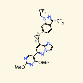 COc1ncc(-c2cc([C@H]3C[C@@H]3c3ccc4c(C(F)(F)F)nn(CC(F)(F)F)c4c3)c3nccn3n2)c(OC)n1